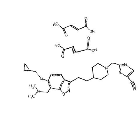 CN(C)Cc1c(OCC2CC2)ccc2c(CCC3CCN(Cc4ncc(C#N)s4)CC3)noc12.O=C(O)/C=C/C(=O)O.O=C(O)/C=C/C(=O)O